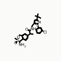 Cc1cc(C(C)C(=O)NCc2cc(C(C)(C)C)nn2-c2cccc(Cl)c2)ccc1C(N)S(C)(=O)=O